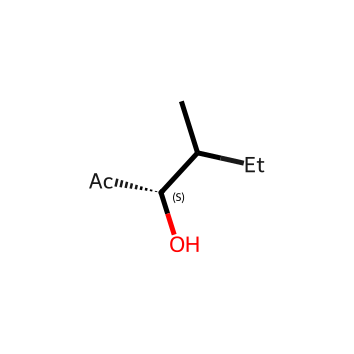 CCC(C)[C@H](O)C(C)=O